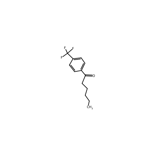 CCCCCC(=O)c1ccc(C(F)(F)F)cc1